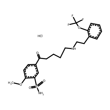 COc1ccc(C(=O)CCCCNCCc2ccccc2OC(F)(F)F)cc1S(N)(=O)=O.Cl